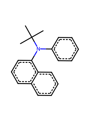 CC(C)(C)N(c1ccccc1)c1cccc2ccccc12